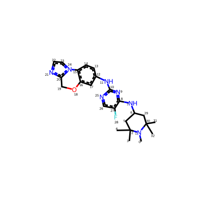 CN1C(C)(C)CC(Nc2nc(Nc3ccc4c(c3)OCc3nccn3-4)ncc2F)CC1(C)C